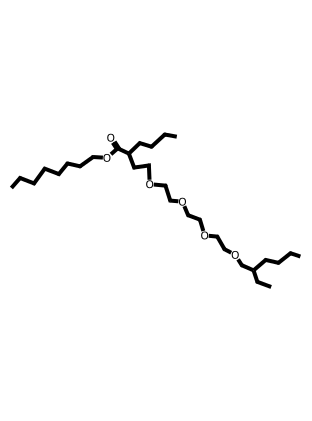 CCCCCCCCOC(=O)C(CCCC)CCOCCOCCOCCOCC(CC)CCCC